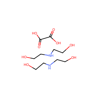 O=C(O)C(=O)O.OCCNCCO.OCCNCCO